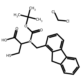 CC(C)(C)OC(=O)N(Cc1cccc2c1Cc1ccccc1-2)C(CS)C(=O)O.ClCCl